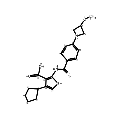 COC1CN(c2ccc(C(=O)Nc3scc(C4CCCC4)c3C(=O)O)cc2)C1